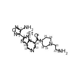 CCn1c(-c2nonc2N)nc2cncc(C(=O)N3CCN(CCN)CC3)c21